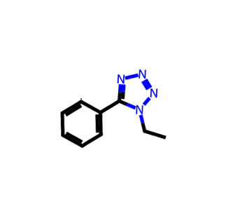 CCn1nnnc1-c1[c]cccc1